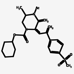 C=C(/C=C1\C(=C)N(C(C)=O)C(C)CN1C(=O)OC1CCCCC1)c1ccc(S(C)(=O)=O)cc1